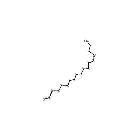 OCC/C=C\CCCCCCCCCCCCCl